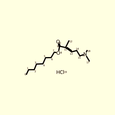 CCCCCCCCOC(=O)C(C)=CCCN(C)C.Cl